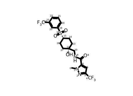 Cn1nc(C(F)(F)F)cc1C(=O)NC[C@]1(O)CC[C@@H](S(=O)(=O)c2cccc(C(F)(F)F)c2)CC1